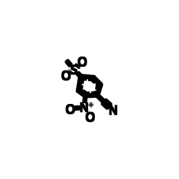 CS(=O)(=O)c1ccc(C#N)c([N+](=O)[O-])c1